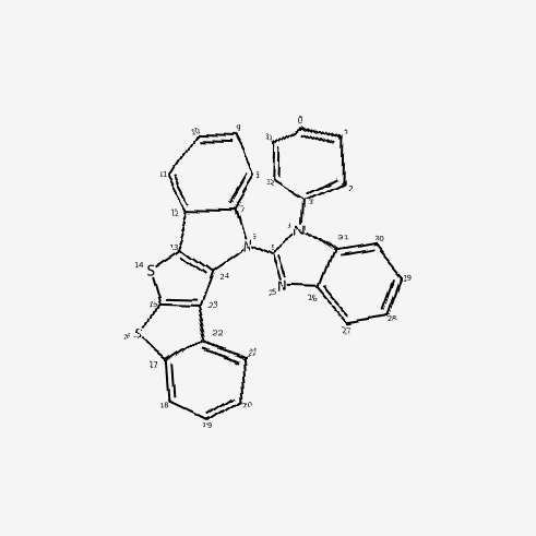 c1ccc(-n2c(-n3c4ccccc4c4sc5sc6ccccc6c5c43)nc3ccccc32)cc1